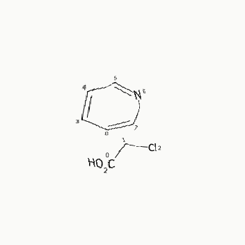 O=C(O)CCl.c1ccncc1